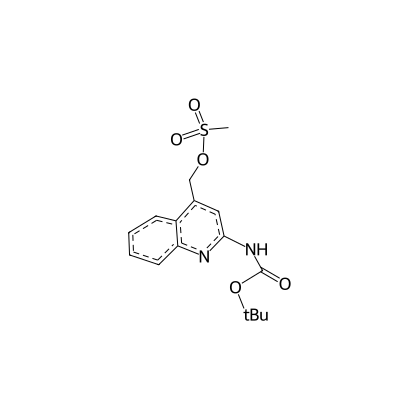 CC(C)(C)OC(=O)Nc1cc(COS(C)(=O)=O)c2ccccc2n1